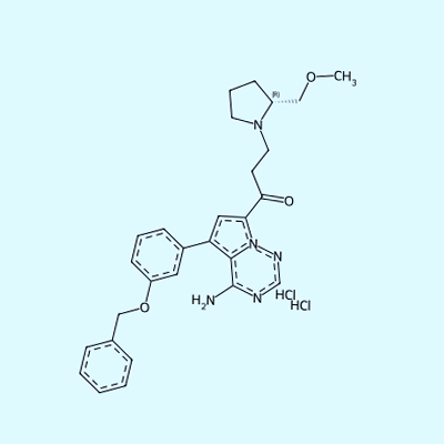 COC[C@H]1CCCN1CCC(=O)c1cc(-c2cccc(OCc3ccccc3)c2)c2c(N)ncnn12.Cl.Cl